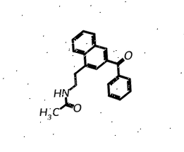 CC(=O)NCCc1cc(C(=O)c2ccccc2)cc2ccccc12